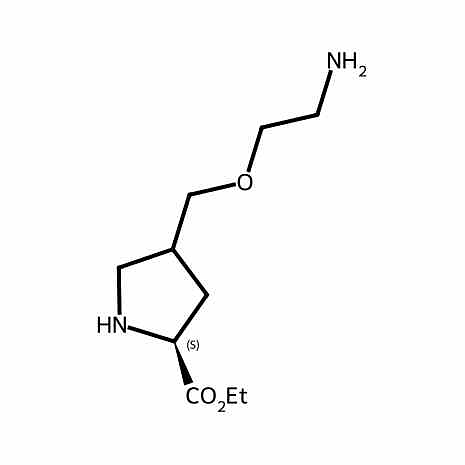 CCOC(=O)[C@@H]1CC(COCCN)CN1